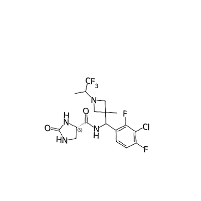 CC(N1CC(C)(C(NC(=O)[C@@H]2CNC(=O)N2)c2ccc(F)c(Cl)c2F)C1)C(F)(F)F